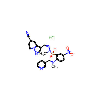 CN(Cc1cccnc1)c1ccc([N+](=O)[O-])cc1S(=O)(=O)N(C)/N=C\c1cnn2ccc(C#N)cc12.Cl